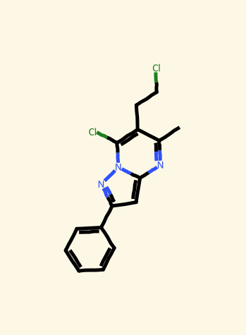 Cc1nc2cc(-c3ccccc3)nn2c(Cl)c1CCCl